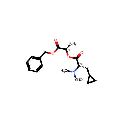 C[C@@H](OC(=O)[C@H](CC1CC1)N(C)C=O)C(=O)OCc1ccccc1